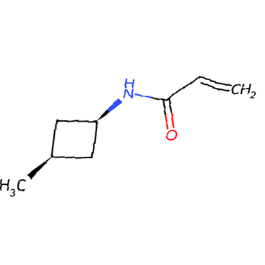 C=CC(=O)N[C@H]1C[C@@H](C)C1